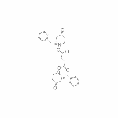 O=C1CCN(OC(=O)CCC(=O)ON2CCC(=O)C[C@H]2Cc2ccccc2)[C@H](Cc2ccccc2)C1